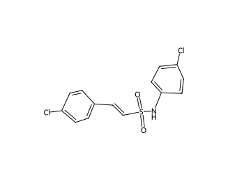 O=S(=O)(/C=C/c1ccc(Cl)cc1)Nc1ccc(Cl)cc1